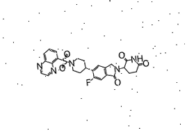 O=C1CCC(N2Cc3cc(C4CCN(S(=O)(=O)c5cccc6nccnc56)CC4)c(F)cc3C2=O)C(=O)N1